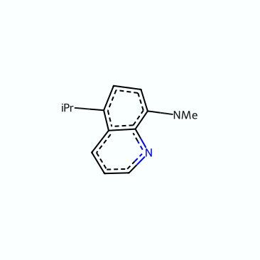 CNc1ccc(C(C)C)c2cccnc12